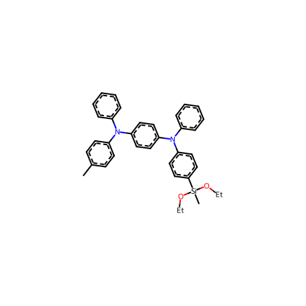 CCO[Si](C)(OCC)c1ccc(N(c2ccccc2)c2ccc(N(c3ccccc3)c3ccc(C)cc3)cc2)cc1